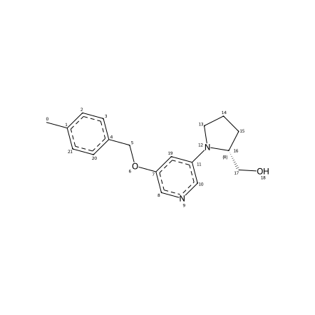 Cc1ccc(COc2cncc(N3CCC[C@@H]3CO)c2)cc1